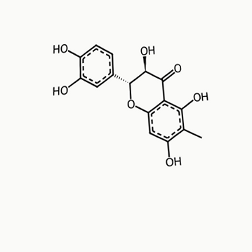 Cc1c(O)cc2c(c1O)C(=O)[C@H](O)[C@@H](c1ccc(O)c(O)c1)O2